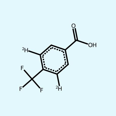 [2H]c1cc(C(=O)O)cc([2H])c1C(F)(F)F